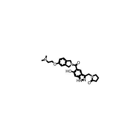 CN(C)CCOc1ccc2c(c1)CN(C(=O)c1cc3c(CN4CCCC4=O)n[nH]c3cc1O)C2